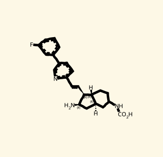 N[C@@H]1C[C@@H]2CC(NC(=O)O)CC[C@H]2[C@@H]1C=Cc1ccc(-c2cccc(F)c2)cn1